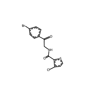 O=C(CNC(=O)c1sccc1Cl)c1ccc(Br)cc1